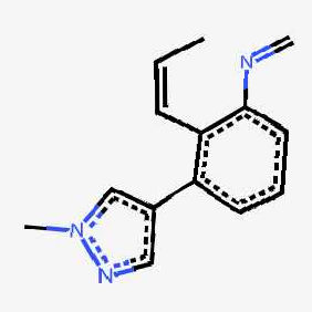 C=Nc1cccc(-c2cnn(C)c2)c1/C=C\C